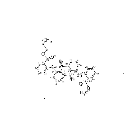 CCCOC(=O)c1ccccc1Sc1cccc2c1C(=O)c1cccc(Sc3ccccc3C(=O)OC)c1C2=O